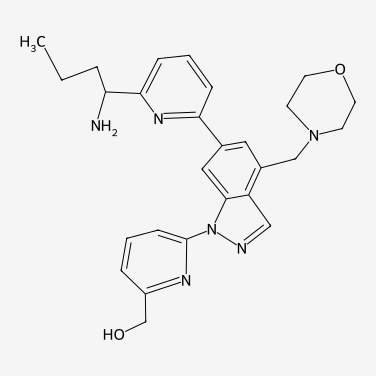 CCCC(N)c1cccc(-c2cc(CN3CCOCC3)c3cnn(-c4cccc(CO)n4)c3c2)n1